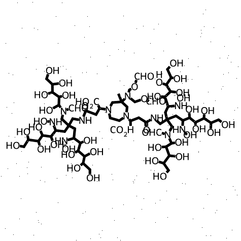 CC1(N(COC=O)COC=O)CN(C(CC(=O)NCC(CC(NO)C(O)C(O)C(O)C(O)CO)(CC(NO)C(O)C(O)C(O)C(O)CO)CN(C=O)C(O)C(O)C(O)C(O)CO)C(=O)O)CCN(C(CC(=O)NCC(CC(NO)C(O)C(O)C(O)C(O)CO)(CC(NO)C(O)C(O)C(O)C(O)CO)CN(C=O)C(O)C(O)C(O)C(O)CO)C(=O)O)C1